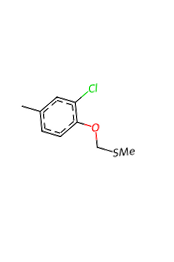 CSCOc1ccc(C)cc1Cl